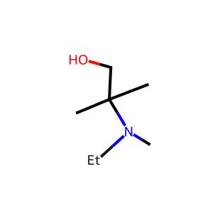 CCN(C)C(C)(C)CO